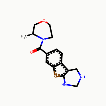 C[C@H]1COCCN1C(=O)c1ccc2c3c(sc2c1)NCNC3